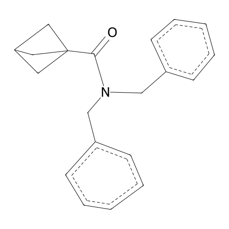 O=C(N(Cc1ccccc1)Cc1ccccc1)C12CC(C1)C2